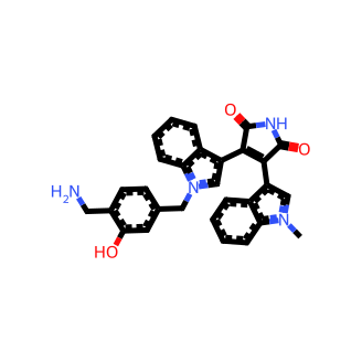 Cn1cc(C2=C(c3cn(Cc4ccc(CN)c(O)c4)c4ccccc34)C(=O)NC2=O)c2ccccc21